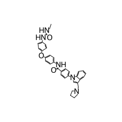 CCNC(=O)Nc1ccc(Oc2ccc(NC(=O)c3ccc(-n4cc(CN5CCCC5)c5ccccc54)cc3)cc2)cc1